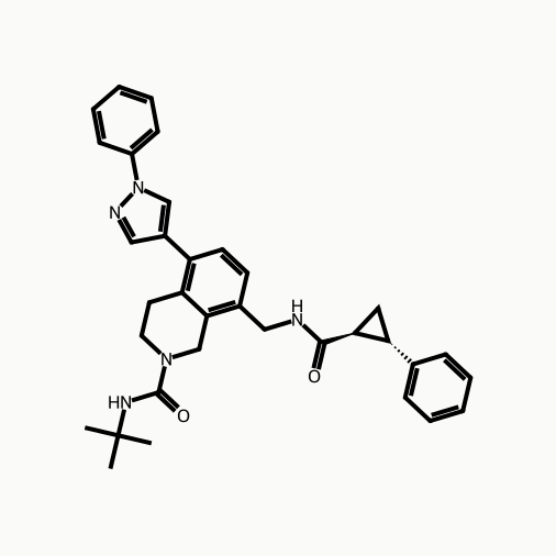 CC(C)(C)NC(=O)N1CCc2c(-c3cnn(-c4ccccc4)c3)ccc(CNC(=O)[C@H]3C[C@@H]3c3ccccc3)c2C1